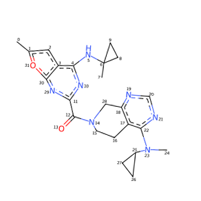 Cc1cc2c(NC3(C)CC3)nc(C(=O)N3CCc4c(ncnc4N(C)C4CC4)C3)nc2o1